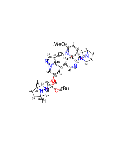 COc1ccc(CN2C3CC2CN(c2ccc(-c4cc(OCCN5[C@@H]6CC[C@H]5CN(C(=O)OC(C)(C)C)C6)cn5ncc(C#N)c45)cn2)C3)cn1